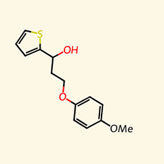 COc1ccc(OCCC(O)c2cccs2)cc1